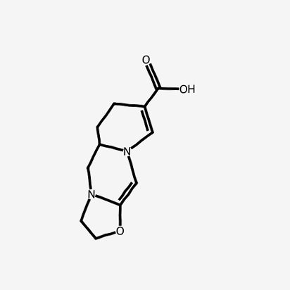 O=C(O)C1=CN2C=C3OCCN3CC2CC1